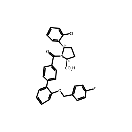 O=C(O)[C@@H]1CC[C@H](c2ccccc2Cl)N1C(=O)c1ccc(-c2ccccc2OCc2ccc(F)cc2)cc1